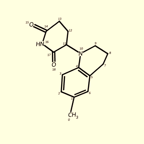 Cc1ccc2c(c1)CCCN2C1CCC(=O)NC1=O